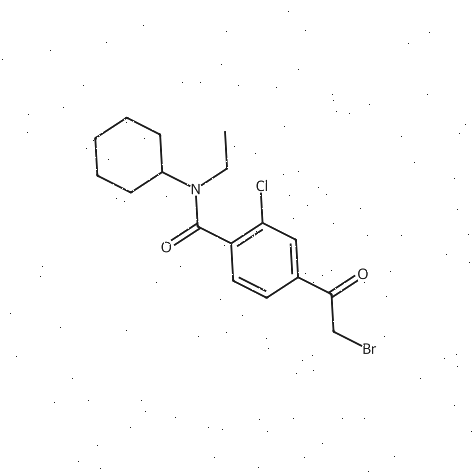 CCN(C(=O)c1ccc(C(=O)CBr)cc1Cl)C1CCCCC1